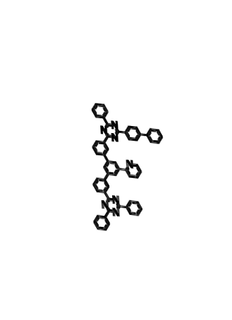 c1ccc(-c2ccc(-c3nc(-c4ccccc4)nc(-c4cccc(-c5cc(-c6cccc(-c7nc(-c8ccccc8)nc(-c8ccccc8)n7)c6)cc(-c6ccccn6)c5)c4)n3)cc2)cc1